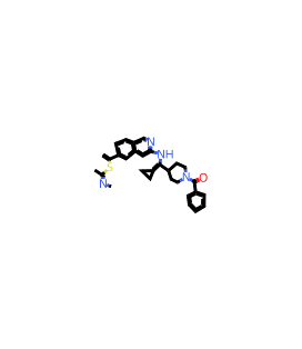 C=C(S/C(C)=N\C)c1ccc2cnc(NC(=C3CC3)C3CCN(C(=O)c4ccccc4)CC3)cc2c1